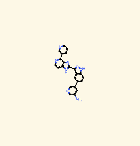 Nc1cncc(-c2ccc3[nH]nc(-c4nc5c(-c6cccnc6)nccc5[nH]4)c3c2)c1